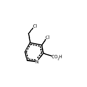 O=C(O)c1nccc(CCl)c1Cl